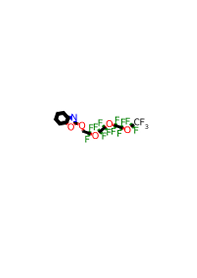 FC(F)(COc1nc2ccccc2o1)OC(F)(F)C(F)(F)OC(F)(F)C(F)(F)OC(F)(F)C(F)(F)F